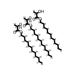 CCCCCCCCCCCCOC(=O)C(C)O.CCCCCCCCCCCCOC(=O)C(C)O.CCCCCCCCCCCCOC(=O)C(C)O